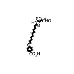 O=CCC[C@H](NC(=O)CCCCCCCCCCOc1ccc(C(=O)O)cc1)C(=O)O